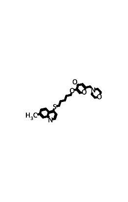 Cc1ccc2c(SCCCCCOc3coc(CN4CCOCC4)cc3=O)ccnc2c1